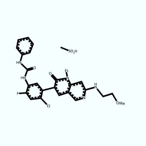 CCn1c(=O)c(-c2cc(NC(=O)Nc3ccccc3)c(F)cc2Cl)cc2cnc(NCCOC)cc21.CS(=O)(=O)O